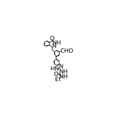 CCNC(=O)Nc1nc2cc(-c3cc(C=O)cc(Cc4n[nH]c(=O)c5ccccc45)c3)ccc2[nH]1